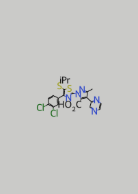 Cc1nn(-c2nc(-c3ccc(Cl)c(Cl)c3)c(SC(C)C)s2)c(C(=O)O)c1-c1cnccn1